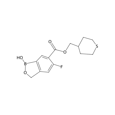 O=C(OCC1CCSCC1)c1cc2c(cc1F)COB2O